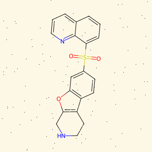 O=S(=O)(c1ccc2c3c(oc2c1)CNCC3)c1cccc2cccnc12